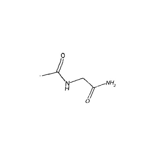 [CH2]C(=O)NCC(N)=O